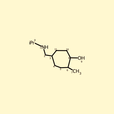 CC(C)NCC1CCC(C)C(O)CC1